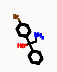 NCC(O)(c1ccccc1)c1ccc(Br)cc1